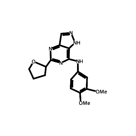 COc1ccc(Nc2nc(C3CCCO3)nc3cn[nH]c23)cc1OC